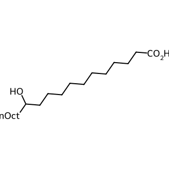 CCCCCCCCC(O)CCCCCCCCCCC(=O)O